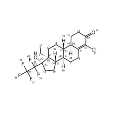 CC[C@]12CC[C@H]3[C@@H](CCC4=C(Cl)C(=O)CC[C@@H]43)[C@@H]1CC[C@@]2(O)C(F)(F)C(F)(F)F